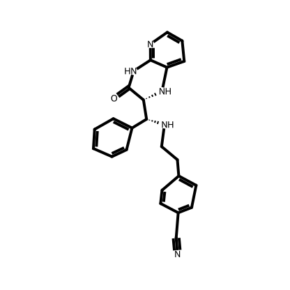 N#Cc1ccc(CCN[C@H](c2ccccc2)[C@H]2Nc3cccnc3NC2=O)cc1